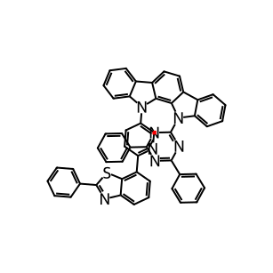 c1ccc(-c2nc(-c3ccccc3)nc(-n3c4ccccc4c4ccc5c6ccccc6n(-c6ccc(-c7cccc8nc(-c9ccccc9)sc78)nc6)c5c43)n2)cc1